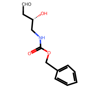 O=CC[C@H](O)CNC(=O)OCc1ccccc1